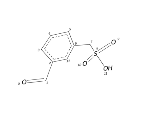 O=Cc1cccc(CS(=O)(=O)O)c1